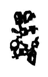 Cc1ccc(C23CC4CC(C2)CC(c2cc(C(C)(C)C)cc(CSC5CCCCCC[C@@H]5SCc5cc(C(C)(C)C)cc(C67CC8CC(CC(c9ccc(C)cc9)(C8)C6)C7)c5O)c2O)(C4)C3)cc1